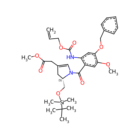 C=CCOC(=O)Nc1cc(OCc2ccccc2)c(OC)cc1C(=O)N1C=C(CC(=O)OC)C[C@H]1CO[Si](C)(C)C(C)(C)C